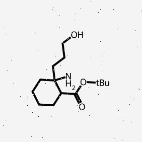 CC(C)(C)OC(=O)C1CCCCC1(N)CCCO